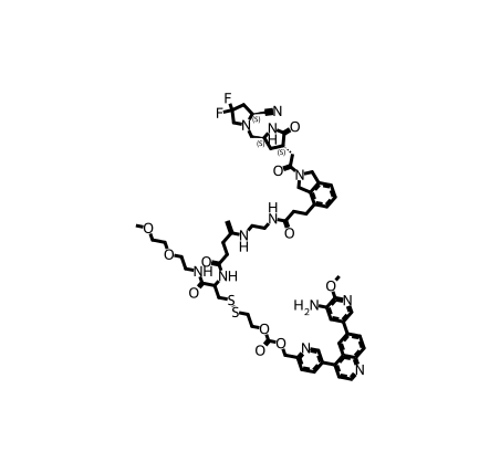 C=C(CCC(=O)NC(CSSCCOC(=O)OCc1ccc(-c2ccnc3ccc(-c4cnc(OC)c(N)c4)cc23)cn1)C(=O)NCCOCCOC)NCCNC(=O)CCc1cccc2c1CN(C(=O)C[C@@H]1C[C@@H](CN3CC(F)(F)C[C@H]3C#N)NC1=O)C2